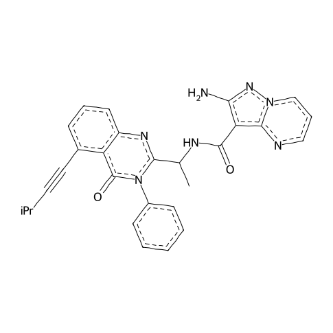 CC(C)C#Cc1cccc2nc(C(C)NC(=O)c3c(N)nn4cccnc34)n(-c3ccccc3)c(=O)c12